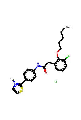 CCCCCCCCCCCCCCOc1c(Cl)cccc1CC(=O)Nc1ccc(-c2scc[n+]2CC)cc1.[Cl-]